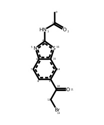 CC(=O)Nc1nc2ccc(C(=O)CBr)cc2s1